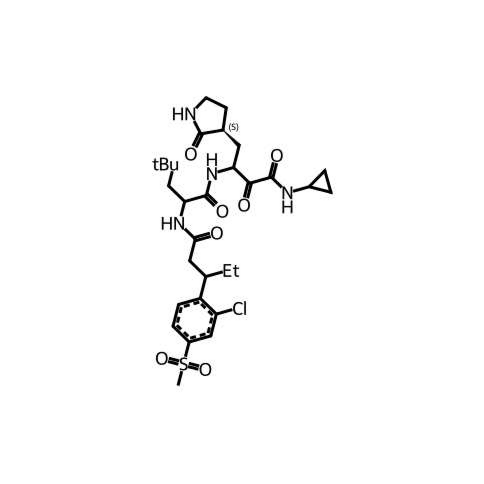 CCC(CC(=O)NC(CC(C)(C)C)C(=O)NC(C[C@@H]1CCNC1=O)C(=O)C(=O)NC1CC1)c1ccc(S(C)(=O)=O)cc1Cl